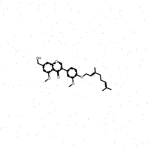 COc1cc(-c2coc3cc(CO)cc(OC)c3c2=O)ccc1OC/C=C(\C)CCC=C(C)C